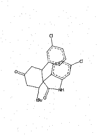 CC(C)(C)C1CC(=O)CC(c2cccc(Cl)c2)C12C(=O)Nc1cc(Cl)ccc12